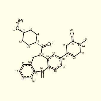 CC(C)O[C@H]1CC[C@H](C(=O)N2Cc3cccnc3Nc3ccc(C4=CCN(C)C(=O)C4)cc32)CC1